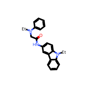 CCN(CC(=O)Nc1ccc2c(c1)c1ccccc1n2CC)c1ccccc1